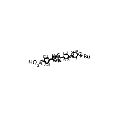 CCCCOC1CCN(c2ccc(-c3nn4cc(-c5ccc(C(=O)O)cc5)nc4s3)cc2)CC1